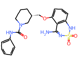 NC1=NS(=O)(=O)Nc2cccc(OC[C@H]3CCCN(C(=O)Nc4ccccc4)C3)c21